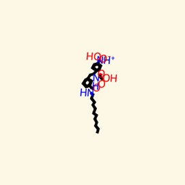 CCCCCCCCCCCCNC(=O)c1cccc(CC(NC(=O)C(=O)O)c2ccc([NH+]([O-])O)cc2)c1